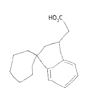 O=C(O)CC1CC2(CCCCC2)c2ccccc21